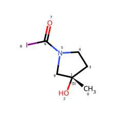 C[C@]1(O)CCN(C(=O)I)C1